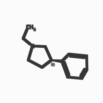 CCN1CC[C@H](c2ccccc2)C1